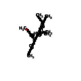 CCCCCCCCOC(=O)CCSCCC(CCCCC(=O)NC(CCSCCC(=O)OCC(CCCCCC)CCCCCCCC)C(=O)NCCN(C)C)SCCC(=O)OCCCCCCCC